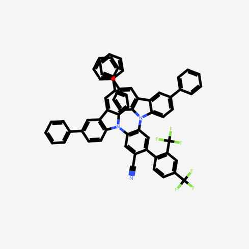 N#Cc1cc(-n2c3ccc(-c4ccccc4)cc3c3cc(-c4ccccc4)ccc32)c(-n2c3ccc(-c4ccccc4)cc3c3cc(-c4ccccc4)ccc32)cc1-c1ccc(C(F)(F)F)cc1C(F)(F)F